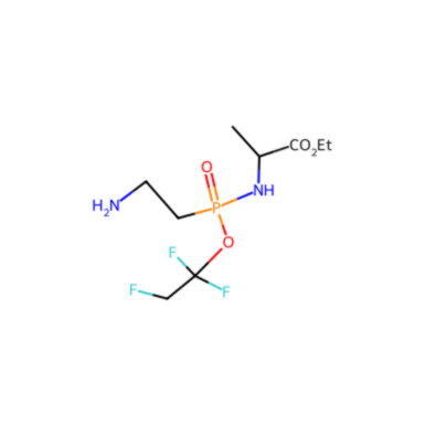 CCOC(=O)C(C)NP(=O)(CCN)OC(F)(F)CF